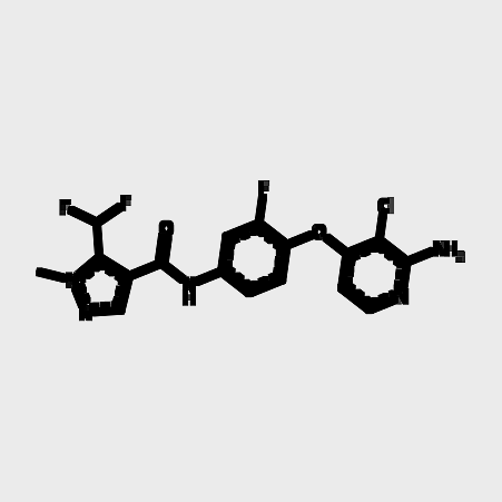 Cn1ncc(C(=O)Nc2ccc(Oc3ccnc(N)c3Cl)c(F)c2)c1C(F)F